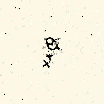 CC(C)(C)OC(=O)N[C@@H]1C[C@H]2CC[C@@H](C2)NC1=O